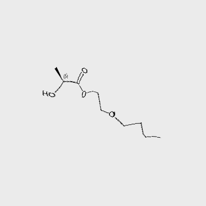 CCCCOCCOC(=O)[C@H](C)O